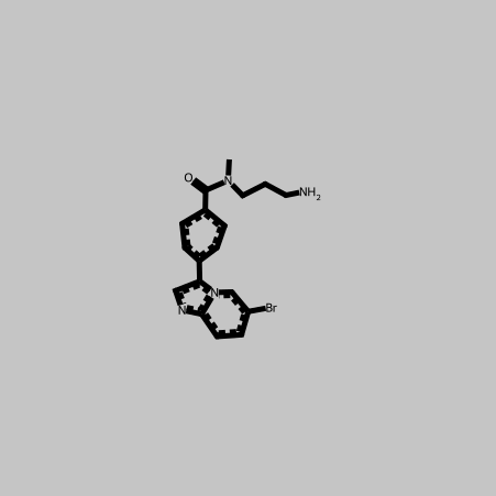 CN(CCCN)C(=O)c1ccc(-c2cnc3ccc(Br)cn23)cc1